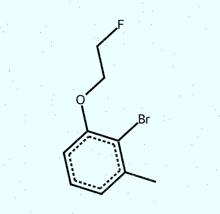 Cc1cccc(OCCF)c1Br